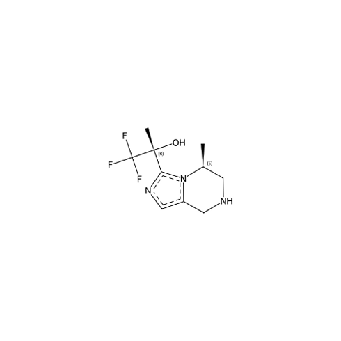 C[C@H]1CNCc2cnc([C@@](C)(O)C(F)(F)F)n21